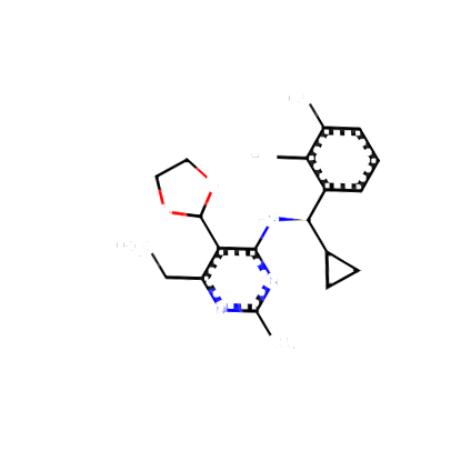 Cc1nc(CC(=O)O)c(C2OCCO2)c(N[C@@H](c2cccc(C(F)(F)F)c2C)C2CC2)n1